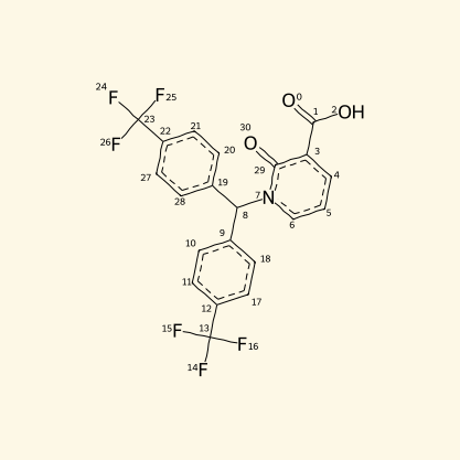 O=C(O)c1cccn(C(c2ccc(C(F)(F)F)cc2)c2ccc(C(F)(F)F)cc2)c1=O